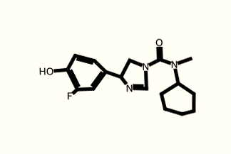 CN(C(=O)N1C=NC(c2ccc(O)c(F)c2)C1)C1CCCCC1